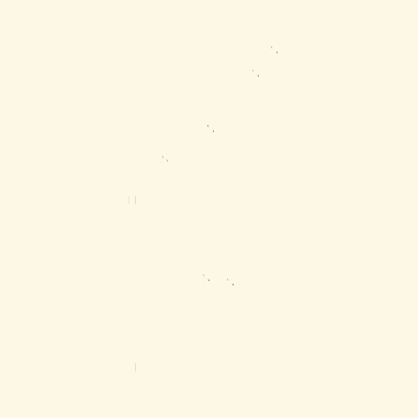 Cc1cc2c(cnn2-c2ccc(F)cc2)cc1C1CN(S(=O)(=O)c2cccnn2)CCN1CC(C)C